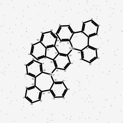 c1ccc2c(c1)-c1ccccc1N(c1ccc(N3c4ccccc4-c4ccccc4-c4ccccc43)c3c1-c1cccc4cccc-3c14)c1ccccc1-2